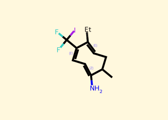 CCC1=C\CC(C)/C(N)=C/C=C\1C(F)(F)I